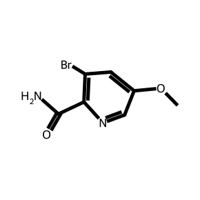 COc1cnc(C(N)=O)c(Br)c1